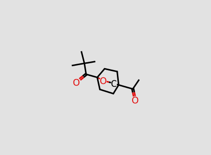 CC(=O)C12CCC(C(=O)C(C)(C)C)(CC1)OC2